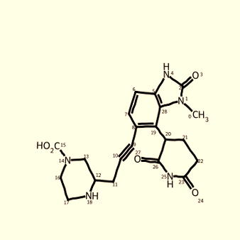 Cn1c(=O)[nH]c2ccc(C#CCC3CN(C(=O)O)CCN3)c(C3CCC(=O)NC3=O)c21